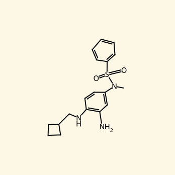 CN(c1ccc(NCC2CCC2)c(N)c1)S(=O)(=O)c1ccccc1